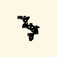 C=C(C)[C@@H]1CC[C@]2(NCCC3(O)CCOCC3)CC[C@]3(C)[C@H](CC[C@@H]4C[C@H](C(C)(C)/C(=C\CCC)C5=CC[C@](CF)(C(=O)O)CC5)CC[C@]43C)[C@@H]12